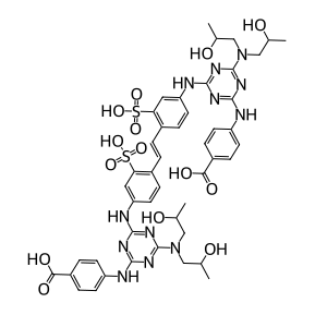 CC(O)CN(CC(C)O)c1nc(Nc2ccc(C(=O)O)cc2)nc(Nc2ccc(/C=C/c3ccc(Nc4nc(Nc5ccc(C(=O)O)cc5)nc(N(CC(C)O)CC(C)O)n4)cc3S(=O)(=O)O)c(S(=O)(=O)O)c2)n1